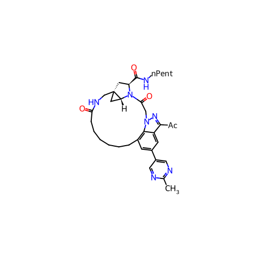 CCCCCNC(=O)[C@@H]1C[C@]23CNC(=O)CCCCCCc4cc(-c5cnc(C)nc5)cc5c(C(C)=O)nn(c45)CC(=O)N1[C@@H]2C3